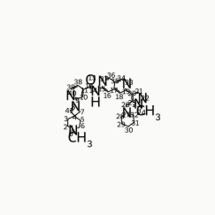 CN1CCC2(CC1)CN(c1cc(C(=O)Nc3cc4cc(-c5cnn(C)c5CN5CCCCC5)ncc4cn3)ccn1)C2